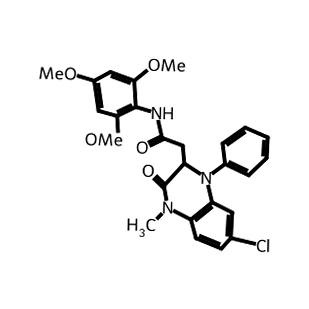 COc1cc(OC)c(NC(=O)CC2C(=O)N(C)c3ccc(Cl)cc3N2c2ccccc2)c(OC)c1